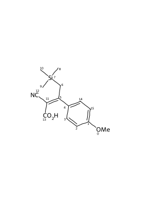 COc1ccc(C(C[Si](C)(C)C)=C(C#N)C(=O)O)cc1